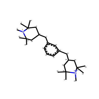 CN1C(C)(C)CC(Cc2cccc(CC3CC(C)(C)N(C)C(C)(C)C3)c2)CC1(C)C